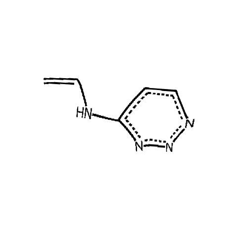 C=CNc1ccnnn1